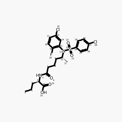 CCC[C@@H](NC(=O)CCC[C@@H](C)N(c1cc(Cl)ccc1F)S(=O)(=O)c1ccc(Cl)cc1)C(=O)O